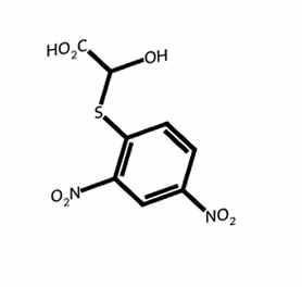 O=C(O)C(O)Sc1ccc([N+](=O)[O-])cc1[N+](=O)[O-]